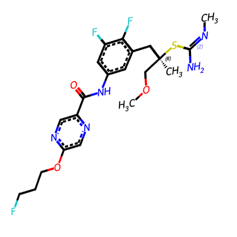 C/N=C(/N)S[C@@](C)(COC)Cc1cc(NC(=O)c2cnc(OCCCF)cn2)cc(F)c1F